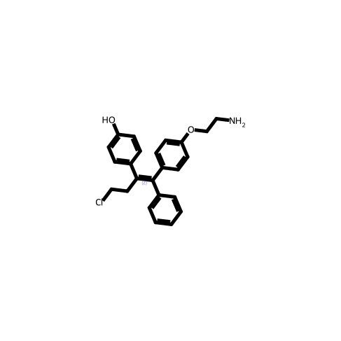 NCCOc1ccc(/C(=C(/CCCl)c2ccc(O)cc2)c2ccccc2)cc1